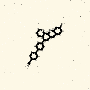 N#Cc1ccc(-c2ccc(-c3cc4cc5ccc(F)cc5nc4c4ncccc34)cc2)cc1